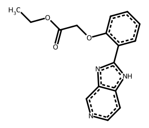 CCOC(=O)COc1ccccc1-c1nc2cnccc2[nH]1